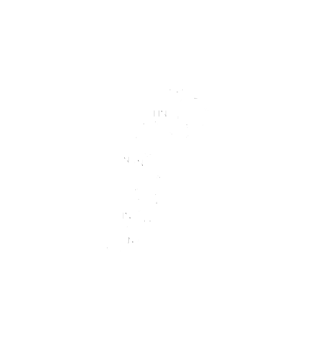 O=C(NC1=NCCO1)c1cc(-n2ncc3cc(Nc4ccccc4Cl)c(F)cc32)cs1